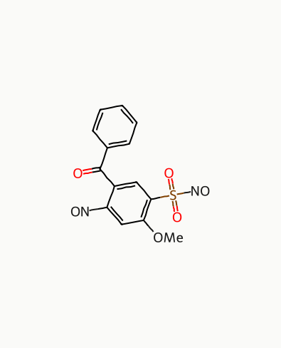 COc1cc(N=O)c(C(=O)c2ccccc2)cc1S(=O)(=O)N=O